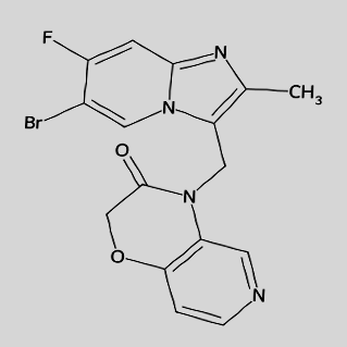 Cc1nc2cc(F)c(Br)cn2c1CN1C(=O)COc2ccncc21